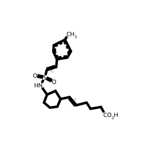 Cc1ccc(/C=C/S(=O)(=O)NC2CCCC(/C=C/CCCC(=O)O)C2)cc1